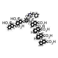 O=C(/C=C\C(=O)OC1CCCCC1)OC1CCCCC1.O=C(O)c1cc(C(=O)O)c2ccccc2c1.O=C(O)c1cc(C(=O)O)c2ccccc2c1.O=C(O)c1cc(C(=O)O)c2ccccc2c1.O=C(O)c1cc(C(=O)O)c2ccccc2c1.O=C(O)c1cc(C(=O)O)c2ccccc2c1.O=C(O)c1cc(C(=O)O)c2ccccc2c1